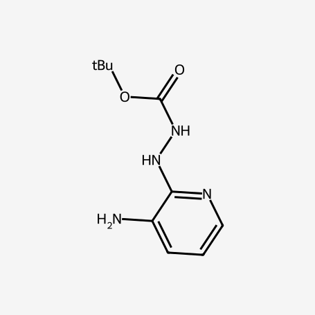 CC(C)(C)OC(=O)NNc1ncccc1N